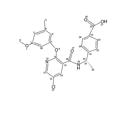 COc1cc(C)cc(Oc2ncc(Cl)cc2C(=O)N[C@@H](C)c2ccc(C(=O)O)cc2)c1